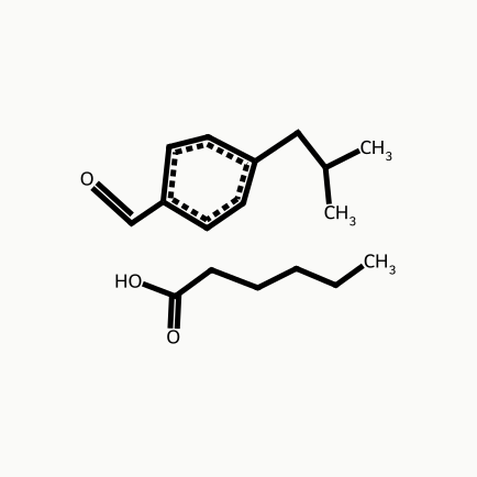 CC(C)Cc1ccc(C=O)cc1.CCCCCC(=O)O